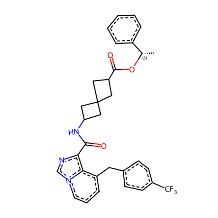 C[C@H](OC(=O)C1CC2(CC(NC(=O)c3ncn4cccc(Cc5ccc(C(F)(F)F)cc5)c34)C2)C1)c1ccccc1